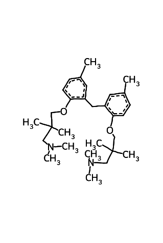 Cc1ccc(OCC(C)(C)CN(C)C)c(Cc2cc(C)ccc2OCC(C)(C)CN(C)C)c1